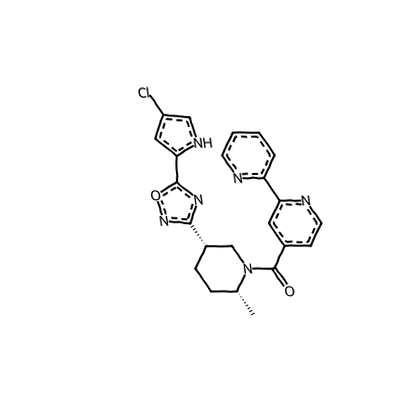 C[C@@H]1CC[C@H](c2noc(-c3cc(Cl)c[nH]3)n2)CN1C(=O)c1ccnc(-c2ccccn2)c1